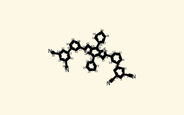 N#Cc1cc(C#N)cc(-c2cccc(-c3cc4c(-c5ccccc5)c5sc(-c6cccc(-c7cc(C#N)cc(C#N)c7)c6)cc5c(-c5ccccc5)c4s3)c2)c1